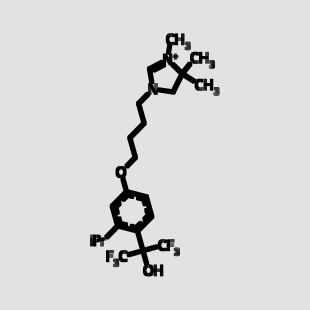 CC(C)c1cc(OCCCCN2C=[N+](C)C(C)(C)C2)ccc1C(O)(C(F)(F)F)C(F)(F)F